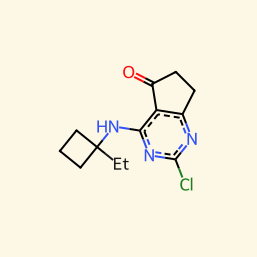 CCC1(Nc2nc(Cl)nc3c2C(=O)CC3)CCC1